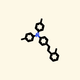 Cc1ccc(N(c2ccc(C)cc2)c2ccc(C=Cc3ccccc3C)cc2)cc1